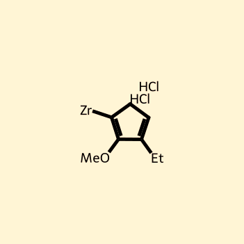 CCC1=CC[C]([Zr])=C1OC.Cl.Cl